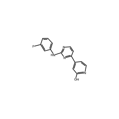 Oc1cc(-c2ccnc(Nc3cccc(F)c3)n2)ccn1